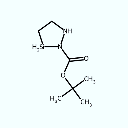 CC(C)(C)OC(=O)N1NCC[SiH2]1